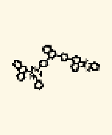 c1ccc(-c2nc(-c3ccc(-c4cc(-c5ccc(-c6ccc7c8c(cccc68)-c6nc8ccccc8nc6-7)cc5)cc5ccccc45)cc3)nc(-c3cc4ccccc4c4ccccc34)n2)cc1